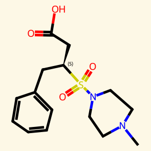 CN1CCN(S(=O)(=O)[C@H](CC(=O)O)Cc2ccccc2)CC1